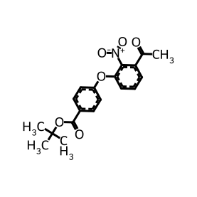 CC(=O)c1cccc(Oc2ccc(C(=O)OC(C)(C)C)cc2)c1[N+](=O)[O-]